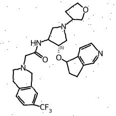 O=C(CN1CCc2ccc(C(F)(F)F)cc2C1)NC1CN(C2CCOC2)C[C@@H]1OC1CCc2cnccc21